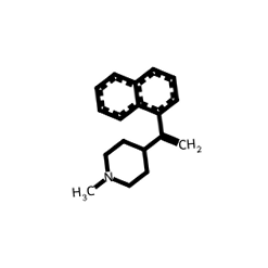 C=C(c1cccc2ccccc12)C1CCN(C)CC1